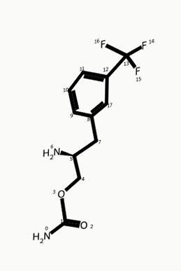 NC(=O)OC[C@@H](N)Cc1cccc(C(F)(F)F)c1